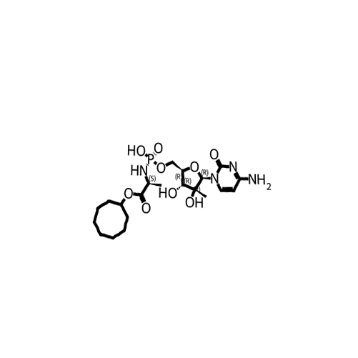 C[C@H](NP(=O)(O)OC[C@H]1O[C@@H](n2ccc(N)nc2=O)[C@](C)(O)[C@@H]1O)C(=O)OC1CCCCCCC1